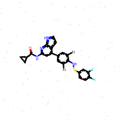 CCc1cc(-c2cc(NC(=O)C3CC3)nc3[nH]ccc23)cc(CC)c1NSc1ccc(F)c(F)c1